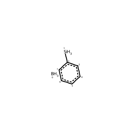 B.[SiH3]c1ccccc1